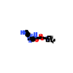 CN(C)CCCOC(=O)C=CC(=O)Nc1ccc2ncnc(Nc3ccc4[nH]ccc4c3)c2c1